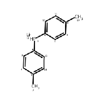 Cc1ccc(Pc2ccc(C)cc2)cc1.[Li]